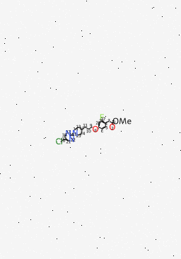 COC(=O)Cc1ccc(OCCCC2CCN(c3ncc(Cl)cn3)CC2)cc1F